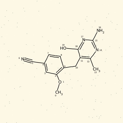 COc1cc(C#N)ccc1Cc1c(C)nc(N)nc1O